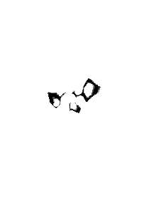 O=C(OCc1ccccc1)C(c1ccccc1)N1CCC(F)C1